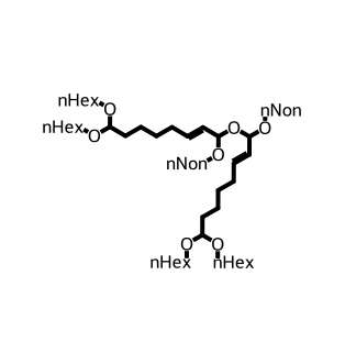 CCCCCCCCCOC(C=CCCCCC(OCCCCCC)OCCCCCC)OC(C=CCCCCC(OCCCCCC)OCCCCCC)OCCCCCCCCC